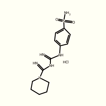 Cl.N=C(NC(=N)N1CCCCC1)Nc1ccc(S(N)(=O)=O)cc1